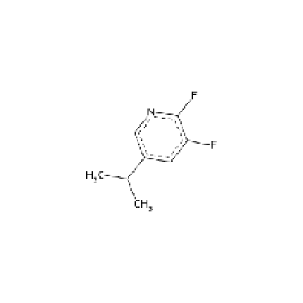 CC(C)c1cnc(F)c(F)c1